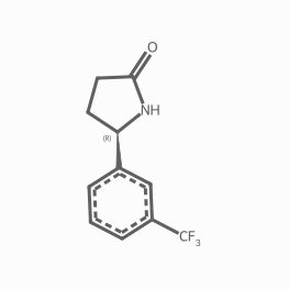 O=C1CC[C@H](c2cccc(C(F)(F)F)c2)N1